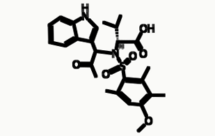 COc1cc(C)c(S(=O)(=O)N(C(C(C)=O)c2c[nH]c3ccccc23)[C@@H](C(=O)O)C(C)C)c(C)c1C